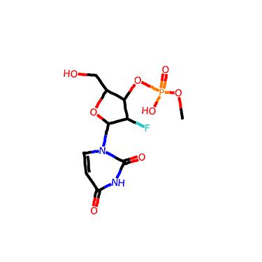 COP(=O)(O)OC1C(CO)OC(n2ccc(=O)[nH]c2=O)C1F